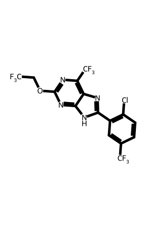 FC(F)(F)COc1nc(C(F)(F)F)c2nc(-c3cc(C(F)(F)F)ccc3Cl)[nH]c2n1